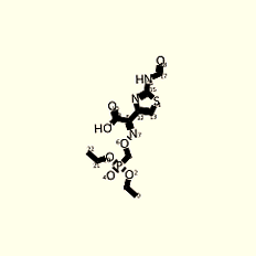 CCOP(=O)(CON=C(C(=O)O)c1csc(NC=O)n1)OCC